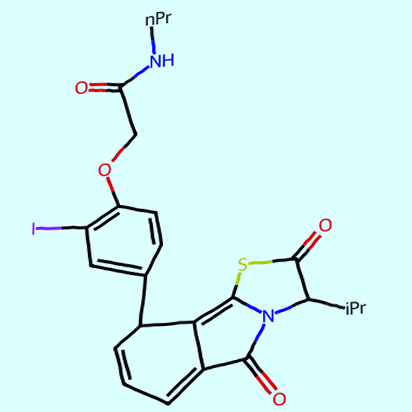 CCCNC(=O)COc1ccc(C2C=CC=C3C(=O)N4C(=C32)SC(=O)C4C(C)C)cc1I